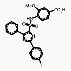 COc1cc(C(=O)O)ccc1NS(=O)(=O)c1nc(-c2ccc(F)cc2)sc1-c1ccccc1